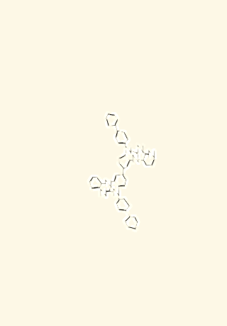 c1ccc(-c2ccc(-n3c4ccc(-c5ccc6c(c5)n5c7cccnc7nc5n6-c5ccc(-c6ccccc6)cc5)cc4n4c5ccccc5nc34)cc2)cc1